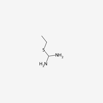 CCSC(N)N